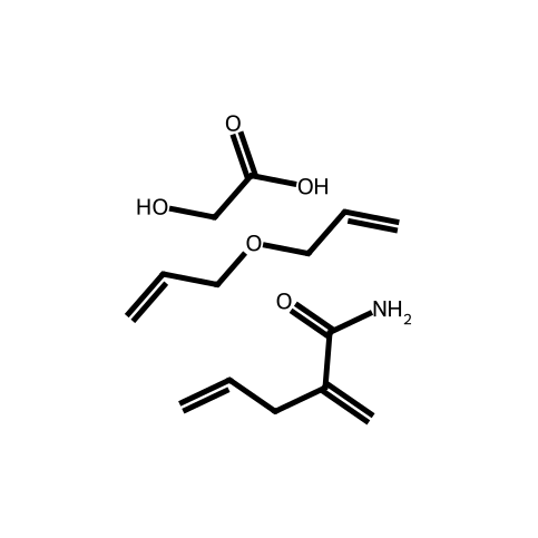 C=CCC(=C)C(N)=O.C=CCOCC=C.O=C(O)CO